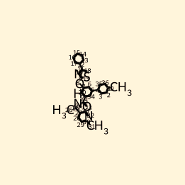 Cc1ccc(-c2cc(Oc3nc(-c4ccccc4)cs3)cc(C(=O)N[C@H](C)c3ccc(C)nc3)c2)cc1